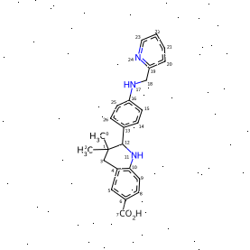 CC1(C)Cc2cc(C(=O)O)ccc2NC1c1ccc(NCc2ccccn2)cc1